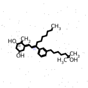 C=C1C(=C/C=C(\CCCCCCC)c2cccc(CCCCCC(C)(C)O)c2)C[C@@H](O)C[C@@H]1O